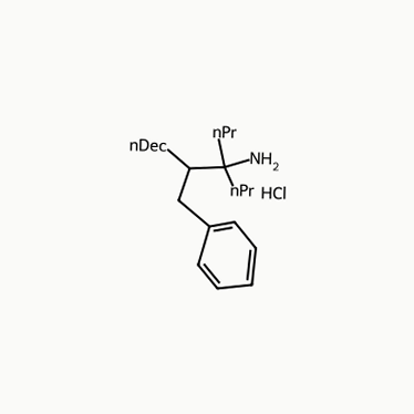 CCCCCCCCCCC(Cc1ccccc1)C(N)(CCC)CCC.Cl